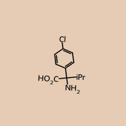 CC(C)C(N)(C(=O)O)c1ccc(Cl)cc1